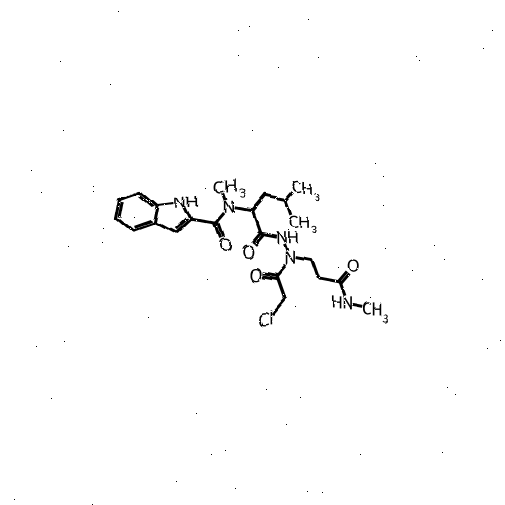 CNC(=O)CCN(NC(=O)C(CC(C)C)N(C)C(=O)c1cc2ccccc2[nH]1)C(=O)CCl